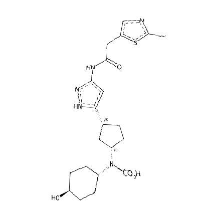 Cc1ncc(CC(=O)Nc2cc([C@@H]3CC[C@H](N(C(=O)O)[C@H]4CC[C@H](O)CC4)C3)[nH]n2)s1